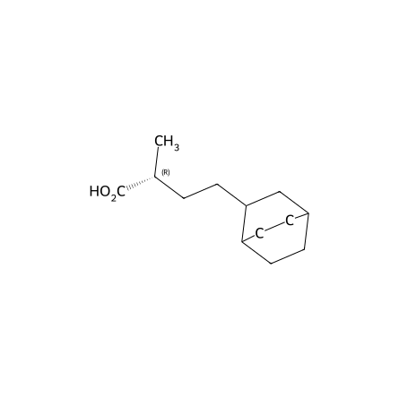 C[C@H](CCC1CC2CCC1CC2)C(=O)O